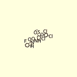 Cc1c(NC(=O)NC(=O)c2c(F)cccc2F)cc(C2OCCS2)c(Oc2ccc(Cl)cc2Cl)c1Cl